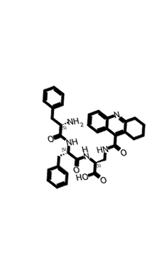 N[C@@H](Cc1ccccc1)C(=O)N[C@@H](Cc1ccccc1)C(=O)N[C@@H](CNC(=O)c1c2c(nc3ccccc13)CCCC2)C(=O)O